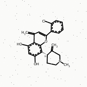 C=C1C=C(c2ccccc2Cl)Oc2c1c(O)cc(O)c2[C@H]1CCN(C)CC1=C